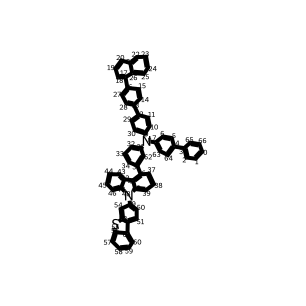 c1ccc(-c2ccc(N(c3ccc(-c4ccc(-c5cccc6ccccc56)cc4)cc3)c3cccc(-c4cccc5c4c4ccccc4n5-c4ccc5c(c4)sc4ccccc45)c3)cc2)cc1